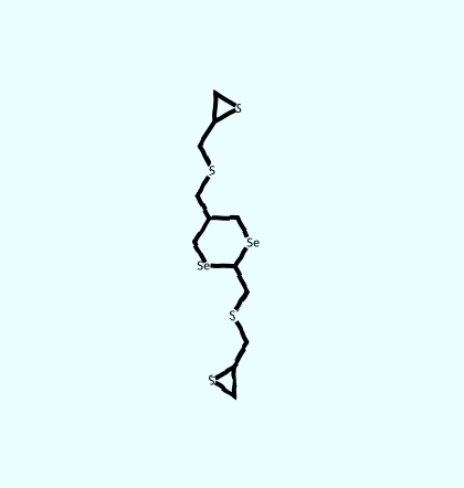 C(SCC1CS1)C1C[Se]C(CSCC2CS2)[Se]C1